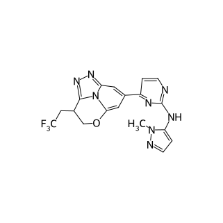 Cn1nccc1Nc1nccc(-c2cc3n4c(nnc4c2)C(CC(F)(F)F)CO3)n1